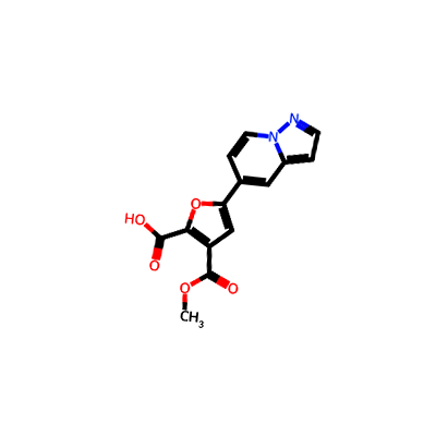 COC(=O)c1cc(-c2ccn3nccc3c2)oc1C(=O)O